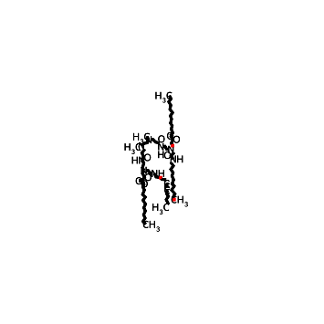 CCCCCCCCCCCCNC(=O)CN(CCNC(=O)CCN(C)CCN(C)CCC(=O)NCCN(CCC(=O)OCCCCCCCCCCCC)CC(=O)NCCCCCCCCCCCC)CCC(=O)OCCCCCCCCCCCC